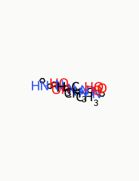 Cc1cc(N=Nc2cc(O)c(N=Nc3ccc4cc(Nc5ccccc5)ccc4c3O)cc2C)c(C)cc1N=Nc1ccc(N=Nc2ccccc2S(=O)(=O)O)cc1